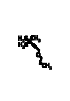 CSCOCC#C[Si](C)(C)C